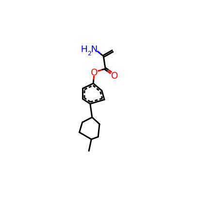 C=C(N)C(=O)Oc1ccc(C2CCC(C)CC2)cc1